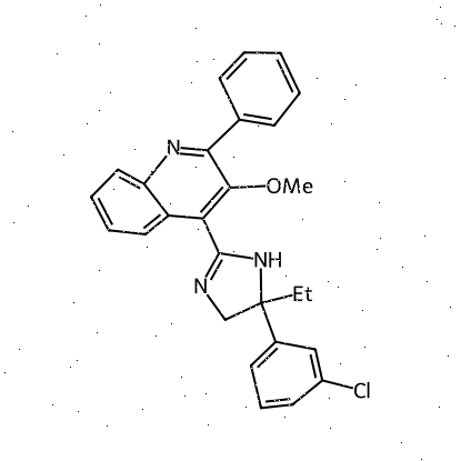 CCC1(c2cccc(Cl)c2)CN=C(c2c(OC)c(-c3ccccc3)nc3ccccc23)N1